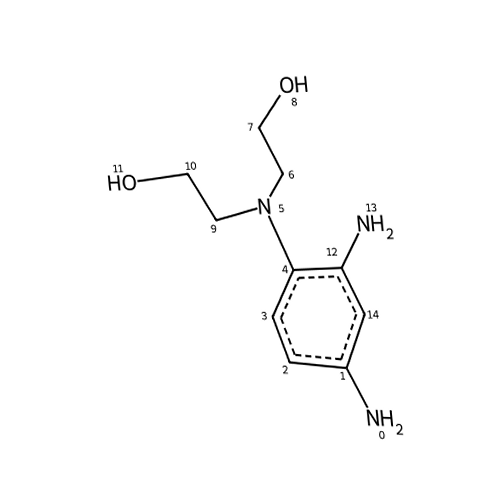 Nc1ccc(N(CCO)CCO)c(N)c1